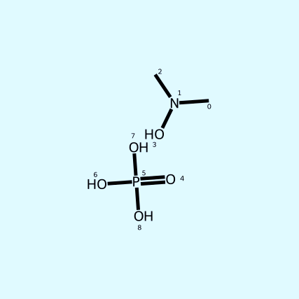 CN(C)O.O=P(O)(O)O